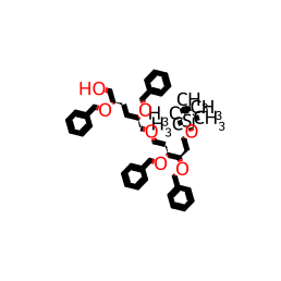 CC(C)(C)[Si](C)(C)OCC[C@@H](OCc1ccccc1)[C@@H](CCOC[C@H](CC[C@@H](CO)OCc1ccccc1)OCc1ccccc1)OCc1ccccc1